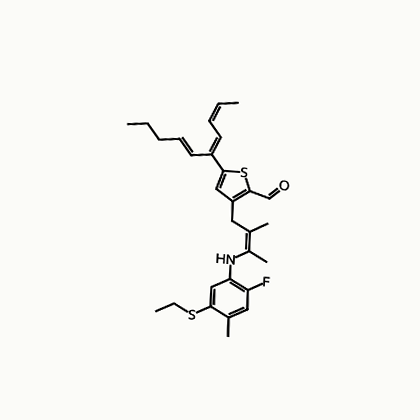 C\C=C/C=C(\C=C\CCC)c1cc(C/C(C)=C(/C)Nc2cc(SCC)c(C)cc2F)c(C=O)s1